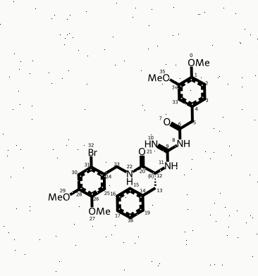 COc1ccc(CC(=O)NC(=N)N[C@H](Cc2ccccc2)C(=O)NCc2cc(OC)c(OC)cc2Br)cc1OC